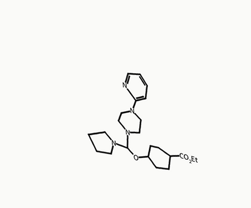 CCOC(=O)C1CCC(OC(N2CCCC2)N2CCN(c3ccccn3)CC2)CC1